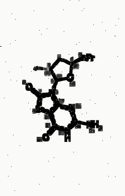 CCC[C@@H]1C[C@@H](C)[C@H](n2c(=O)sc3c(=O)[nH]c(N)nc32)O1